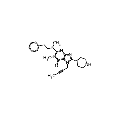 CC#CCn1c(N2CCNCC2)nc2nc(N(C)CCc3ccccc3)n(C)c(=O)c21